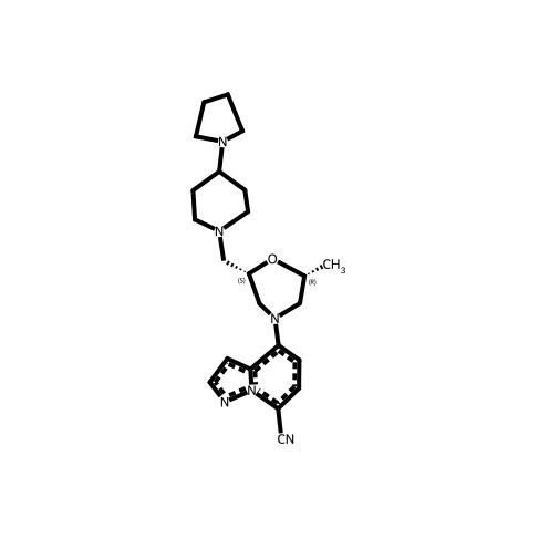 C[C@@H]1CN(c2ccc(C#N)n3nccc23)C[C@H](CN2CCC(N3CCCC3)CC2)O1